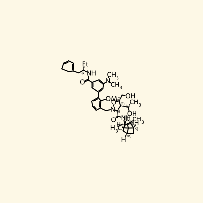 CC[C@H](CC1=CC=CCC1)NC(=O)c1cc(-c2cccc(CN3O[C@@H](CO)[C@@H]([C@H](C)O)[C@H]3C(=O)N[C@H]3C[C@H]4C[C@@H]([C@@H]3C)C4(C)C)c2OC)cc(N(C)C)c1